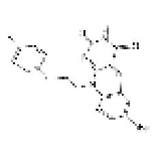 CCC(C)c1ccc2c(c1)nc1c(=O)[nH]c(=O)nc-1n2CCCc1ccc(C)cc1